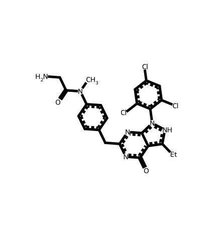 CCc1[nH]n(-c2c(Cl)cc(Cl)cc2Cl)c2nc(Cc3ccc(N(C)C(=O)CN)cc3)nc(=O)c1-2